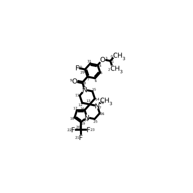 CC(C)Oc1ccc(C(=O)N2CCC3(CC2)c2ccc(C(F)(F)F)n2CCN3C)c(F)c1